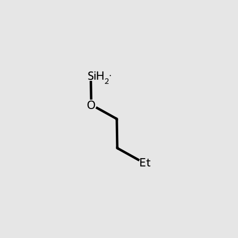 CCCCO[SiH2]